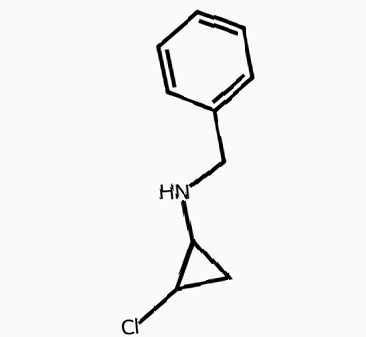 ClC1CC1NCc1ccccc1